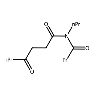 CCCN(C(=O)CCC(=O)C(C)C)C(=O)C(C)C